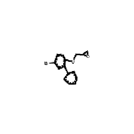 Brc1ccc(OCC2CO2)c(-c2ccccc2)c1